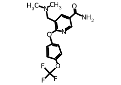 CN(C)Cc1cc(C(N)=O)cnc1Oc1ccc(OC(F)(F)F)cc1